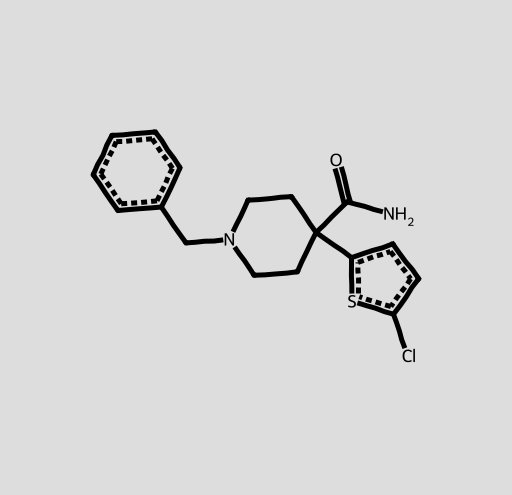 NC(=O)C1(c2ccc(Cl)s2)CCN(Cc2ccccc2)CC1